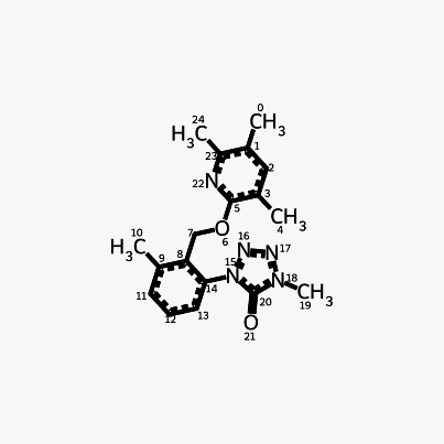 Cc1cc(C)c(OCc2c(C)cccc2-n2nnn(C)c2=O)nc1C